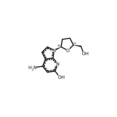 Nc1cc(O)nc2c1ccn2[C@H]1CC[C@@H](CO)O1